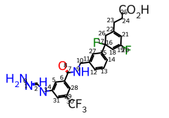 NN=CNc1cc(C(=O)NCc2cccc(C3(F)C=C(F)C=C(CCC(=O)O)C3)c2)cc(C(F)(F)F)c1